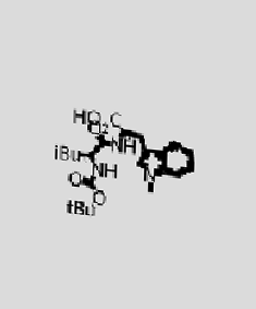 CCC(C)[C@H](NC(=O)OC(C)(C)C)C(=O)N[C@H](Cc1cn(C)c2ccccc12)C(=O)O